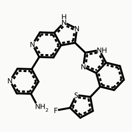 Nc1cncc(-c2cc3c(-c4nc5c(-c6ccc(F)s6)cccc5[nH]4)n[nH]c3cn2)c1